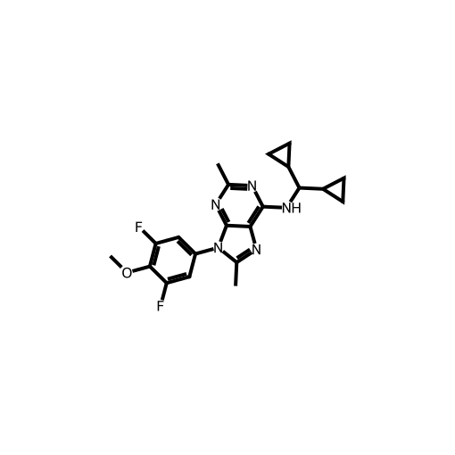 COc1c(F)cc(-n2c(C)nc3c(NC(C4CC4)C4CC4)nc(C)nc32)cc1F